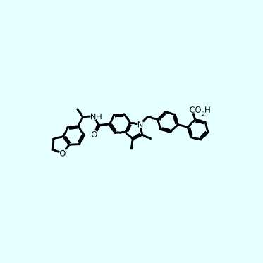 Cc1c(C)n(Cc2ccc(-c3ccccc3C(=O)O)cc2)c2ccc(C(=O)NC(C)c3ccc4c(c3)CCO4)cc12